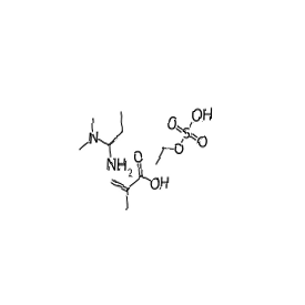 C=C(C)C(=O)O.CCC(N)N(C)C.CCOS(=O)(=O)O